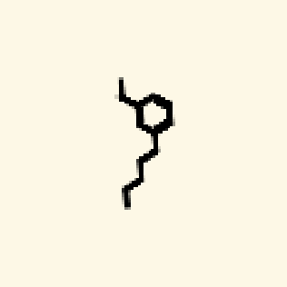 C[CH]c1cccc(CCCCC)c1